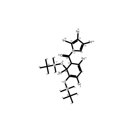 [2H]C1=CC([2H])=C(O[Si](C)(C)C(C)(C)C)C([2H])(O[Si](C)(C)C(C)(C)C)C1C(=O)n1cc([2H])c([2H])c1[2H]